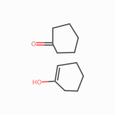 O=C1CCCCC1.OC1=CCCCC1